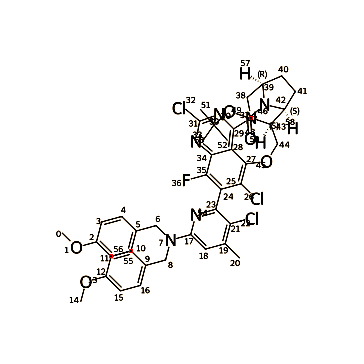 COc1ccc(CN(Cc2ccc(OC)cc2)c2cc(C)c(Cl)c(-c3c(Cl)c4c5c(nc(Cl)nc5c3F)N3C[C@H]5CC[C@@H]([C@H]3CO4)N5C(=O)OC(C)(C)C)n2)cc1